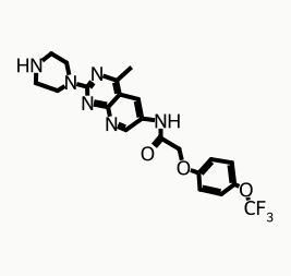 Cc1nc(N2CCNCC2)nc2ncc(NC(=O)COc3ccc(OC(F)(F)F)cc3)cc12